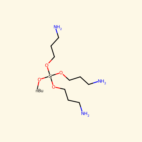 CCCCO[Si](OCCCN)(OCCCN)OCCCN